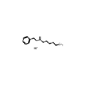 CCCCCCNCCc1ccccc1.Cl